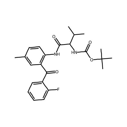 Cc1ccc(NC(=O)C(NC(=O)OC(C)(C)C)C(C)C)c(C(=O)c2ccccc2F)c1